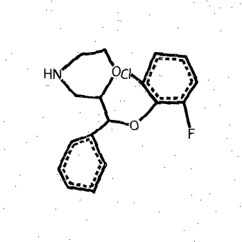 Fc1cccc(Cl)c1OC(c1ccccc1)C1CNCCO1